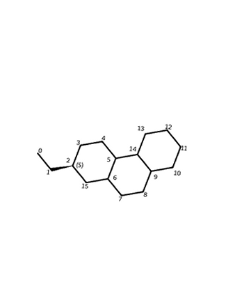 CC[C@H]1CCC2C(CCC3CCCCC32)C1